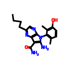 CCCCc1cnc2c(n1)c(C(N)=O)c(N)n2-c1c(C)ccc(O)c1C